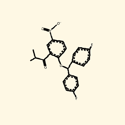 CC(C)C(=O)c1cc([N+](=O)[O-])ccc1OC(c1ccc(F)cc1)c1ccc(F)cc1